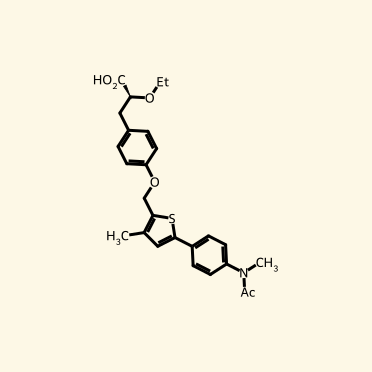 CCO[C@@H](Cc1ccc(OCc2sc(-c3ccc(N(C)C(C)=O)cc3)cc2C)cc1)C(=O)O